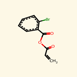 C=CC(=O)OC(=O)c1ccccc1Br